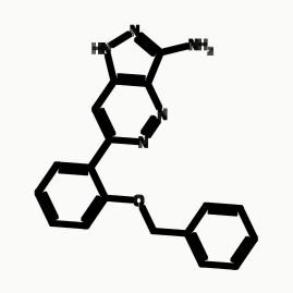 Nc1n[nH]c2cc(-c3ccccc3OCc3ccccc3)nnc12